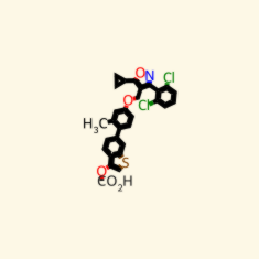 Cc1cc(OCc2c(-c3c(Cl)cccc3Cl)noc2C2CC2)ccc1-c1ccc2c(OC(=O)O)csc2c1